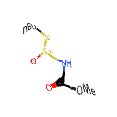 CCCCS[S+]([O-])NC(=O)OC